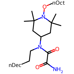 CCCCCCCCCCCCN(C(=O)C(N)=O)C1CC(C)(C)N(OCCCCCCCC)C(C)(C)C1